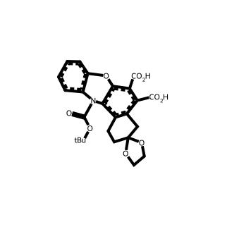 CC(C)(C)OC(=O)N1c2ccccc2Oc2c(C(=O)O)c(C(=O)O)c3c(c21)CCC1(C3)OCCO1